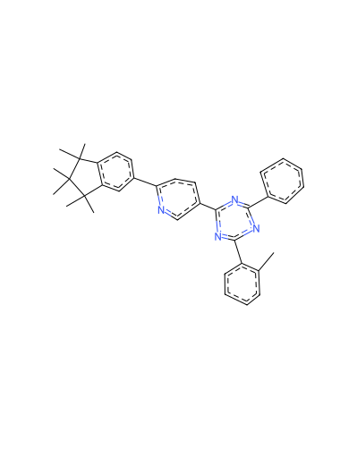 Cc1ccccc1-c1nc(-c2ccccc2)nc(-c2ccc(-c3ccc4c(c3)C(C)(C)C(C)(C)C4(C)C)nc2)n1